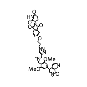 COc1cc(-c2cn(C)c(=O)c3cnccc23)cc(OC)c1CN(C)Cc1cn(CCCOc2ccc3c(c2)C(=O)N(C2CCC(=O)NC2=O)C3=O)nn1